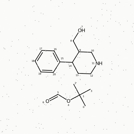 CC(C)(C)OC=O.OCC1CNCCC1c1ccccc1